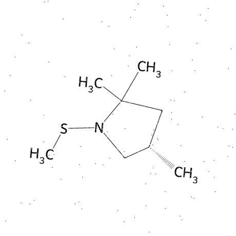 CSN1C[C@@H](C)CC1(C)C